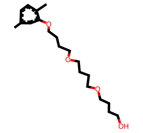 Cc1ccc(C)c(OCCCCOCCCCOCCCCO)c1